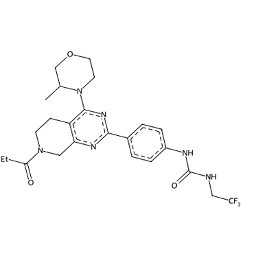 CCC(=O)N1CCc2c(nc(-c3ccc(NC(=O)NCC(F)(F)F)cc3)nc2N2CCOCC2C)C1